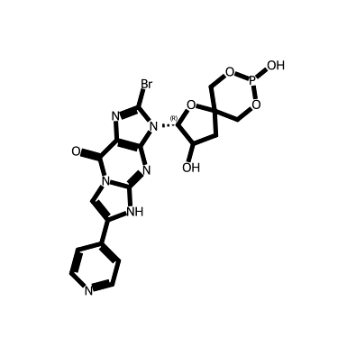 O=c1c2nc(Br)n([C@@H]3OC4(COP(O)OC4)CC3O)c2nc2[nH]c(-c3ccncc3)cn12